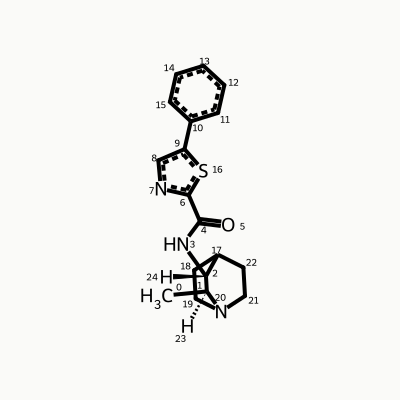 C[C@H]1[C@H](NC(=O)c2ncc(-c3ccccc3)s2)C2CCN1CC2